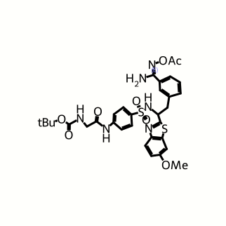 COc1ccc2nc(C(Cc3cccc(/C(N)=N\OC(C)=O)c3)NS(=O)(=O)c3ccc(NC(=O)CNC(=O)OC(C)(C)C)cc3)sc2c1